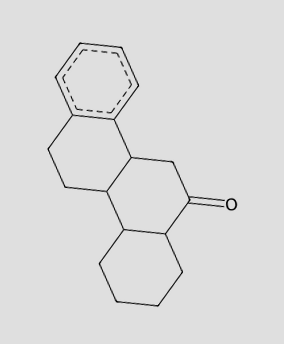 O=C1CC2c3ccccc3CCC2C2CCCCC12